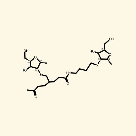 CC(=O)CCC(CCC(=O)NCCCCS[C@H]1C(O)[C@@H](CO)O[C@H]1C)CS[C@H]1C(O)[C@@H](CO)O[C@H]1C